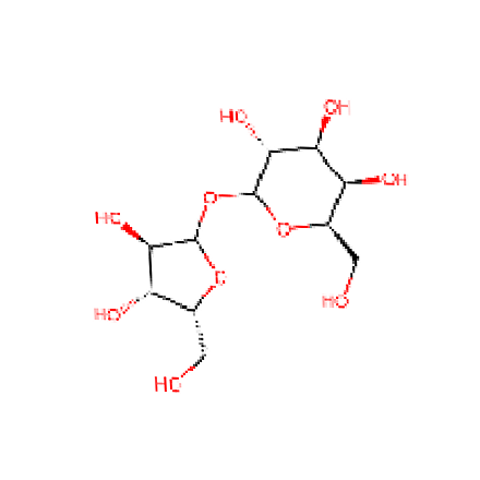 OC[C@H]1OC(OC2O[C@H](CO)[C@H](O)[C@H]2O)[C@H](O)[C@@H](O)[C@H]1O